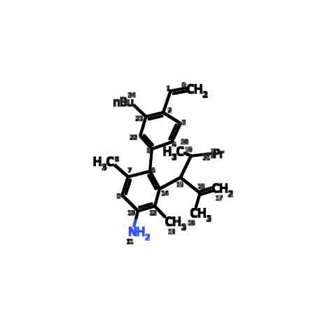 C=Cc1ccc(-c2c(C)cc(N)c(C)c2C(C(=C)C)C(C)C(C)C)cc1CCCC